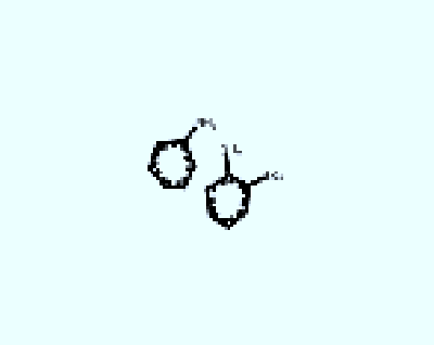 CC(C)(C)c1ccccc1N.Nc1ccccc1